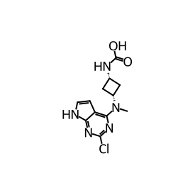 CN(c1nc(Cl)nc2[nH]ccc12)[C@H]1C[C@@H](NC(=O)O)C1